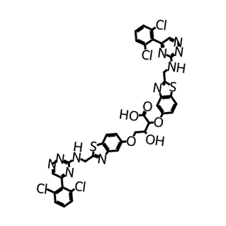 O=C(O)C(Oc1ccc2sc(CNc3nncc(-c4c(Cl)cccc4Cl)n3)nc2c1)C(O)COc1ccc2sc(CNc3nncc(-c4c(Cl)cccc4Cl)n3)nc2c1